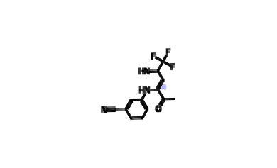 CC(=O)/C(=C/C(=N)C(F)(F)F)Nc1cccc(C#N)c1